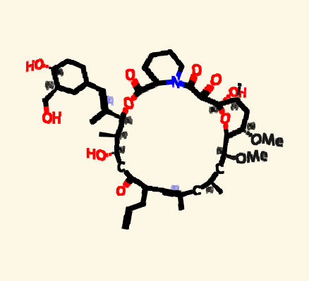 C=CCC1/C=C(\C)C[C@H](C)C[C@H](OC)C2O[C@@](O)(C(=O)C(=O)N3CCCCC3C(=O)O[C@H](/C(C)=C/C3CC[C@@H](O)[C@H](CO)C3)[C@H](C)[C@@H](O)CC1=O)[C@H](C)C[C@@H]2OC